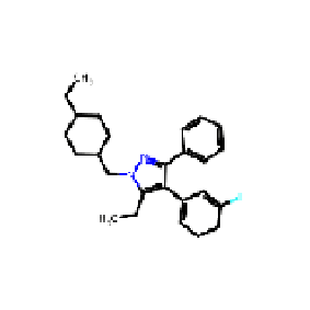 CCc1c(C2=CCCC(F)=C2)c(-c2ccccc2)nn1CC1CCC(CC)CC1